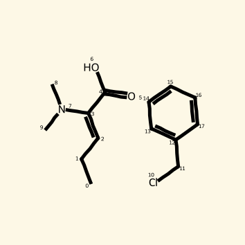 CCC=C(C(=O)O)N(C)C.ClCc1ccccc1